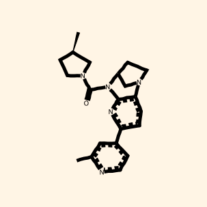 Cc1cc(-c2ccc3c(n2)N(C(=O)N2CC[C@@H](C)C2)C2CCN3C2)ccn1